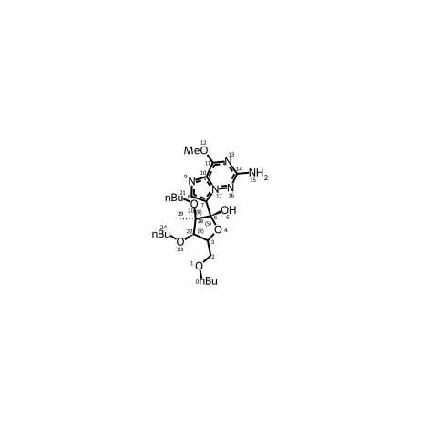 CCCCOCC1O[C@@](O)(c2cnc3c(OC)nc(N)nn23)[C@](C)(OCCCC)[C@@H]1OCCCC